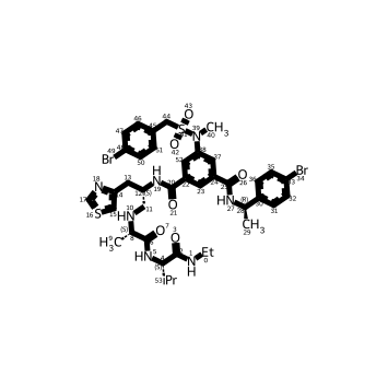 CCNC(=O)[C@@H](NC(=O)[C@H](C)NC[C@H](Cc1cscn1)NC(=O)c1cc(C(=O)N[C@H](C)c2ccc(Br)cc2)cc(N(C)S(=O)(=O)Cc2ccc(Br)cc2)c1)C(C)C